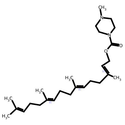 CC(C)=CCC/C(C)=C/CC/C(C)=C/CC/C(C)=C/COC(=O)N1CCN(C)CC1